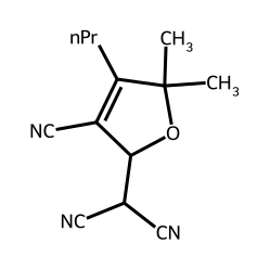 CCCC1=C(C#N)C(C(C#N)C#N)OC1(C)C